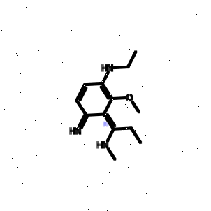 CCNC1=C(OC)/C(=C(\CC)NC)C(=N)C=C1